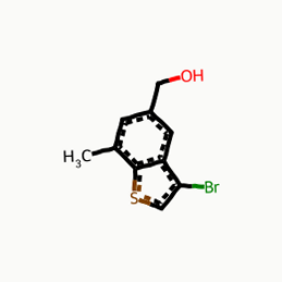 Cc1cc(CO)cc2c(Br)csc12